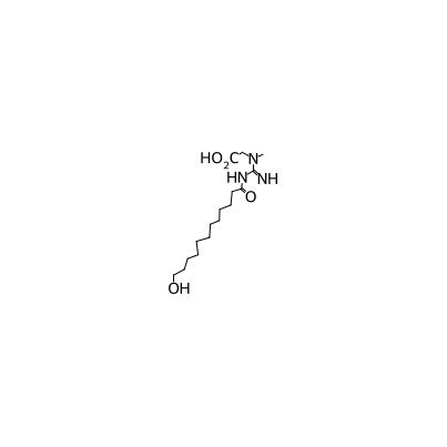 CN(CC(=O)O)C(=N)NC(=O)CCCCCCCCCCCO